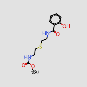 CC(C)(C)OC(=O)NCCSCCNC(=O)c1ccccc1O